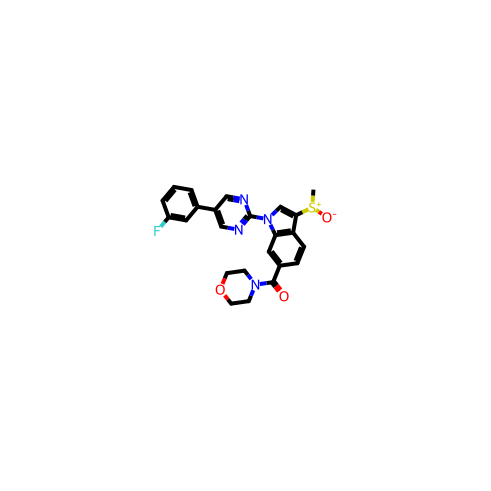 C[S+]([O-])c1cn(-c2ncc(-c3cccc(F)c3)cn2)c2cc(C(=O)N3CCOCC3)ccc12